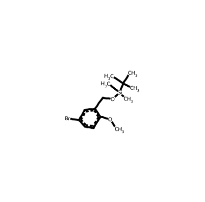 COc1ccc(Br)cc1CO[Si](C)(C)C(C)(C)C